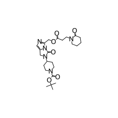 CC(C)(C)OC(=O)N1CCC(N2Cc3cnc(COC(=O)CCN4CCCCC4=O)n3C2=O)CC1